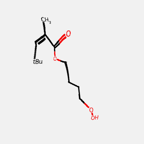 CC(=CC(C)(C)C)C(=O)OCCCCOO